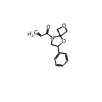 C=CC(=O)N1CC(c2ccccc2)OC12COC2